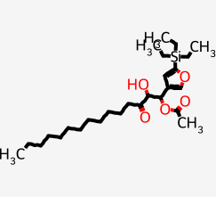 CCCCCCCCCCCCC(=O)C(O)C(OC(C)=O)c1coc([Si](CC)(CC)CC)c1